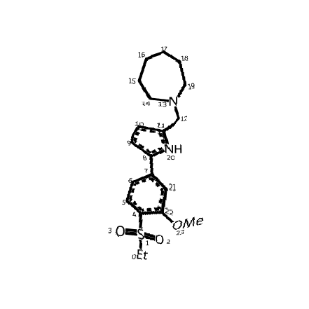 CCS(=O)(=O)c1ccc(-c2ccc(CN3CCCCCC3)[nH]2)cc1OC